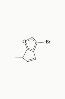 CC1C=Cc2c(Br)coc21